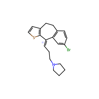 Brc1ccc2c(c1)/C(=C\CCN1CCCC1)c1sccc1CC2